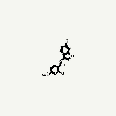 COc1ccc(NSc2c[nH]c3cc(Cl)ccc23)c(Cl)n1